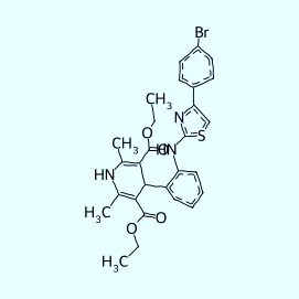 CCOC(=O)C1=C(C)NC(C)=C(C(=O)OCC)C1c1ccccc1Nc1nc(-c2ccc(Br)cc2)cs1